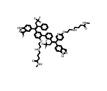 CNC(=O)CCCNCCOc1ccc(/C(=C(/CC(F)(F)F)c2cccc(-c3cc(/C(=C(/CC(F)(F)F)c4ccccc4)c4ccc5[nH]nc(F)c5c4)ccc3OCCNCCCC(=O)NC)c2)c2ccc3[nH]ncc3c2)cn1